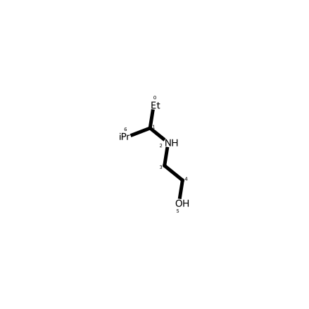 CCC(NCCO)C(C)C